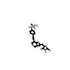 CS(=O)(=O)Nc1ccc(C#Cc2cncc3cc(C=C4SC(=O)NC4=O)oc23)cc1